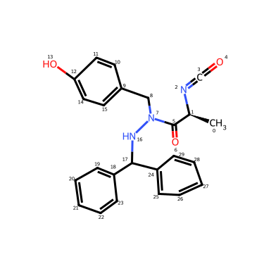 C[C@H](N=C=O)C(=O)N(Cc1ccc(O)cc1)NC(c1ccccc1)c1ccccc1